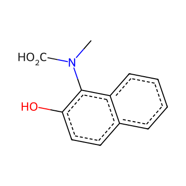 CN(C(=O)O)c1c(O)ccc2ccccc12